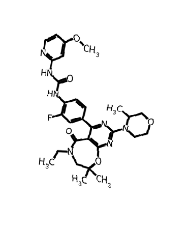 CCN1CC(C)(C)Oc2nc(N3CCOCC3C)nc(-c3ccc(NC(=O)Nc4cc(OC)ccn4)c(F)c3)c2C1=O